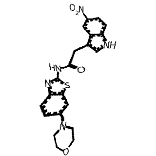 O=C(Cc1c[nH]c2ccc([N+](=O)[O-])cc12)Nc1nc2ccc(N3CCOCC3)cc2s1